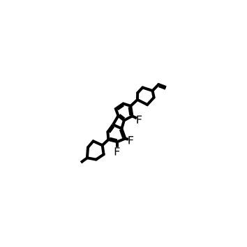 C=CC1CCC(c2ccc3c(c2F)-c2c-3cc(C3CCC(C)CC3)c(F)c2F)CC1